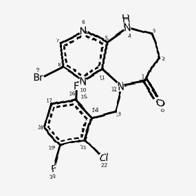 O=C1CCNc2ncc(Br)nc2N1Cc1c(F)ccc(F)c1Cl